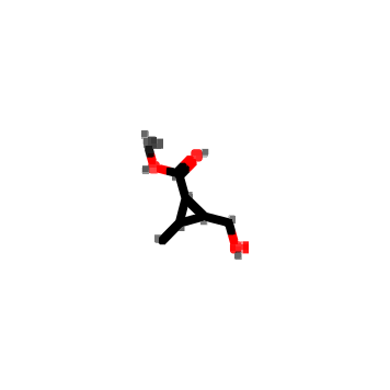 CC1C(CO)C1C(=O)OC(C)(C)C